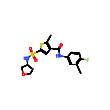 Cc1cc(NC(=O)c2cc(S(=O)(=O)N[C@H]3CCOC3)sc2C)ccc1F